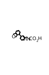 O=C(O)NCc1cccc(-c2cccc3c2COC3)c1